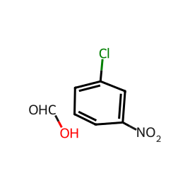 O=CO.O=[N+]([O-])c1cccc(Cl)c1